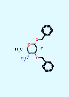 C[C@@H]1O[C@H](OCc2ccccc2)[C@H](F)[C@H](OCc2ccccc2)[C@@H]1N